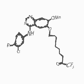 COc1cc2ncnc(Nc3ccc(F)c(Cl)c3)c2cc1OCCCCCCC(=O)C(F)(F)F